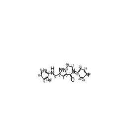 O=C1c2cc(CNc3ncccc3F)nn2CCN1c1ccc(F)cc1